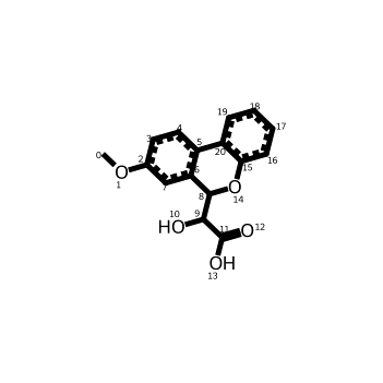 COc1ccc2c(c1)C(C(O)C(=O)O)Oc1ccccc1-2